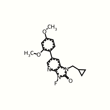 COc1ccc(-c2cnc3c(c2)n(CC2CC2)c(=O)n3F)c(OC)c1